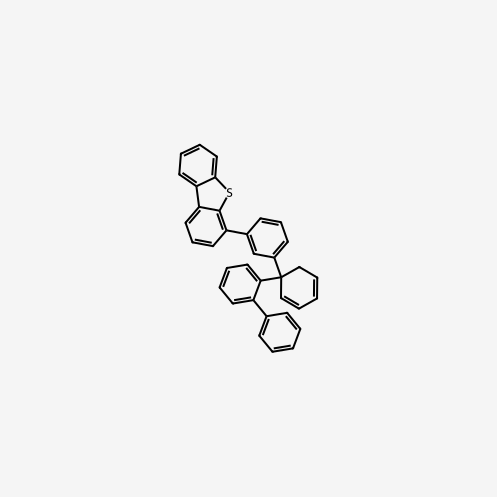 C1=CCC(c2cccc(-c3cccc4c3sc3ccccc34)c2)(c2ccccc2-c2ccccc2)C=C1